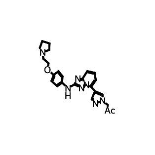 CC(=O)Cn1cc(-c2cccc3nc(Nc4ccc(OCCN5CCCC5)cc4)nn23)cn1